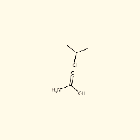 CC(C)Cl.NC(=O)O